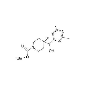 Cc1cc(C(O)C2(F)CCN(C(=O)OC(C)(C)C)CC2)cc(C)n1